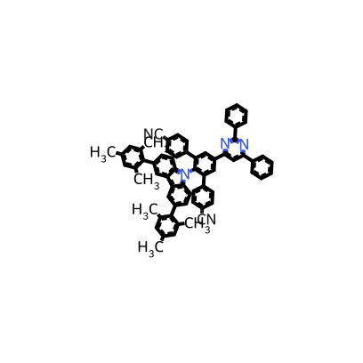 Cc1cc(C)c(-c2ccc3c(c2)c2cc(-c4c(C)cc(C)cc4C)ccc2n3-c2c(-c3ccc(C#N)cc3)cc(-c3cc(-c4ccccc4)nc(-c4ccccc4)n3)cc2-c2ccc(C#N)cc2)c(C)c1